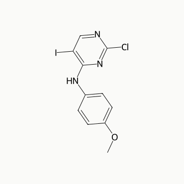 COc1ccc(Nc2nc(Cl)ncc2I)cc1